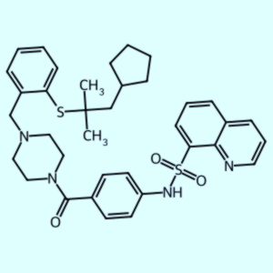 CC(C)(CC1CCCC1)Sc1ccccc1CN1CCN(C(=O)c2ccc(NS(=O)(=O)c3cccc4cccnc34)cc2)CC1